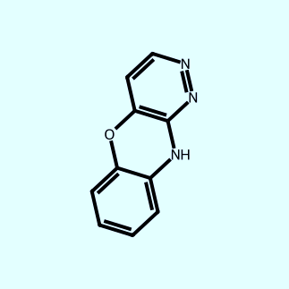 c1ccc2c(c1)Nc1nnccc1O2